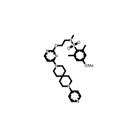 COc1cc(C)c(S(=O)(=O)N(C)CCOc2nccc(N3CCC4(CCN(c5ccncc5)CC4)CC3)n2)c(C)c1